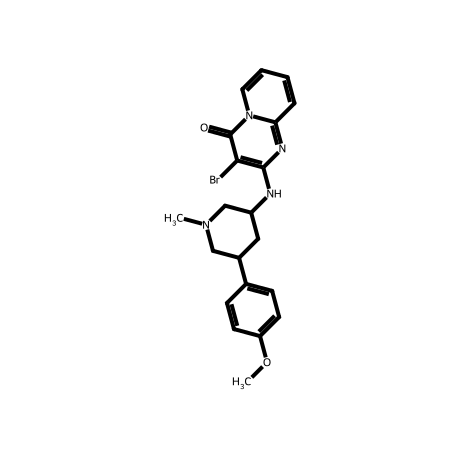 COc1ccc(C2CC(Nc3nc4ccccn4c(=O)c3Br)CN(C)C2)cc1